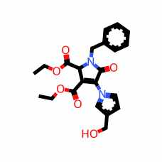 CCOC(=O)C1=C(n2ccc(CO)c2)C(=O)N(Cc2ccccc2)C1C(=O)OCC